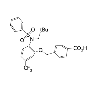 CC(C)(C)CN(c1ccc(C(F)(F)F)cc1OCc1ccc(C(=O)O)cc1)S(=O)(=O)c1ccccc1